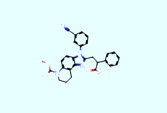 COC(=O)N1c2ccc3c(nc(CC(C(=O)O)c4ccccc4)n3-c3cccc(C#N)c3)c2CC[C@@H]1C